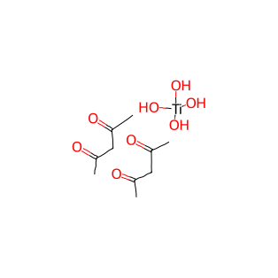 CC(=O)CC(C)=O.CC(=O)CC(C)=O.[OH][Ti]([OH])([OH])[OH]